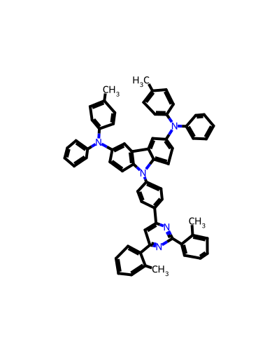 Cc1ccc(N(c2ccccc2)c2ccc3c(c2)c2cc(N(c4ccccc4)c4ccc(C)cc4)ccc2n3-c2ccc(-c3cc(-c4ccccc4C)nc(-c4ccccc4C)n3)cc2)cc1